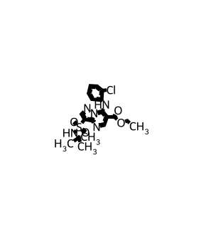 CCOC(=O)c1cnc2c(S(=O)(=O)NC(C)(C)C)cnn2c1Nc1ccccc1Cl